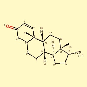 C[C@]12C=CC(=O)CC1CC[C@@H]1[C@H]2CC[C@]2(C)C(C(F)(F)F)CC[C@@H]12